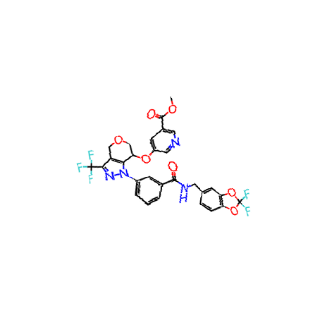 COC(=O)c1cncc(OC2COCc3c(C(F)(F)F)nn(-c4cccc(C(=O)NCc5ccc6c(c5)OC(F)(F)O6)c4)c32)c1